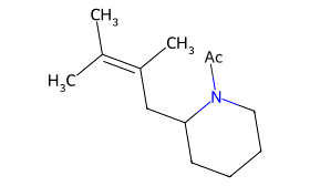 CC(=O)N1CCCCC1CC(C)=C(C)C